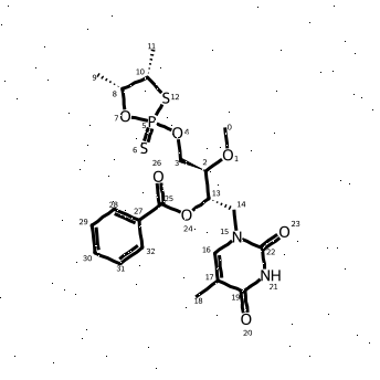 CO[C@H](COP1(=S)O[C@H](C)[C@H](C)S1)[C@H](Cn1cc(C)c(=O)[nH]c1=O)OC(=O)c1ccccc1